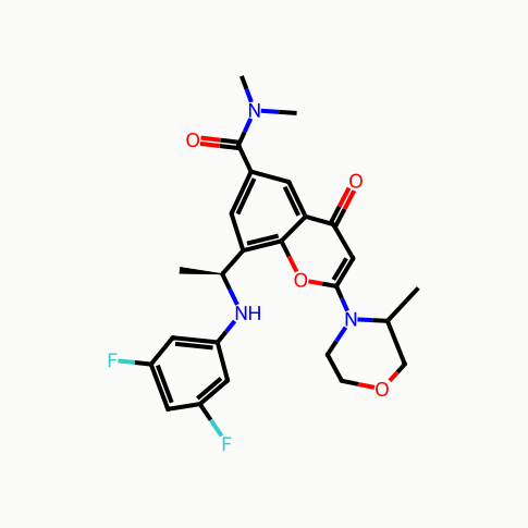 CC1COCCN1c1cc(=O)c2cc(C(=O)N(C)C)cc([C@H](C)Nc3cc(F)cc(F)c3)c2o1